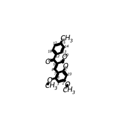 COc1cc(OC)c2cc(C(=O)c3ccc(C)cc3)c(=O)oc2c1